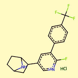 Cl.Fc1ncc(C2CC3CCC2N3)cc1-c1ccc(C(F)(F)F)cc1